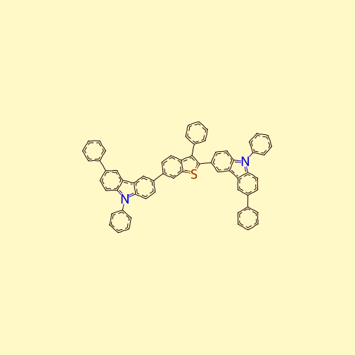 c1ccc(-c2ccc3c(c2)c2cc(-c4ccc5c(-c6ccccc6)c(-c6ccc7c(c6)c6cc(-c8ccccc8)ccc6n7-c6ccccc6)sc5c4)ccc2n3-c2ccccc2)cc1